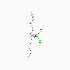 C=CCCCCCCC.Cl[SiH2]Cl